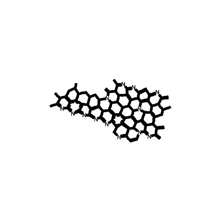 C=C1N=C2C3=C4C5=C6c7c8c9c(c%10c7=C7C(=NC%10)C=CN2C57)N=C2N=C5N=c7nc%10c%11c%12c7C7C5=C5C2C=9C2C9C%13C%14=C%15C%16C(=CC%17=NC(=C)C%18C(C)CC(=C%19C%18C%17=C%16N(C4%19)C6C%15C89)C3C1=C)N=C%14N=C(C)C%13C(=C)N2C5CC7CC%12C(C)CC=%11C(C)C(C)=N%10